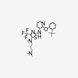 CN(C)CCCN(C)c1sc(Nc2cccnc2Oc2ccccc2C(C)(C)C)nc1C(F)(F)F